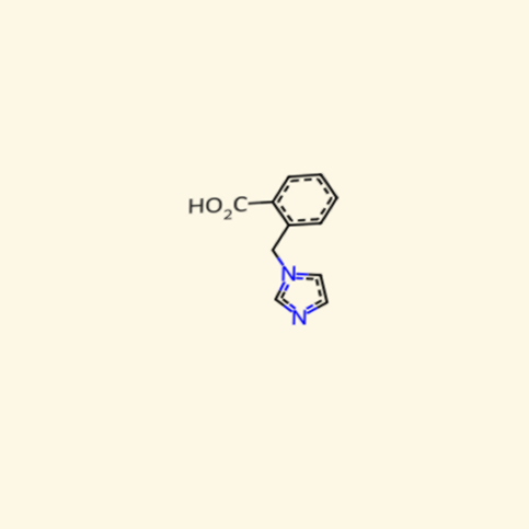 O=C(O)c1ccccc1Cn1ccnc1